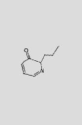 CCCC1N=CC=CC1=O